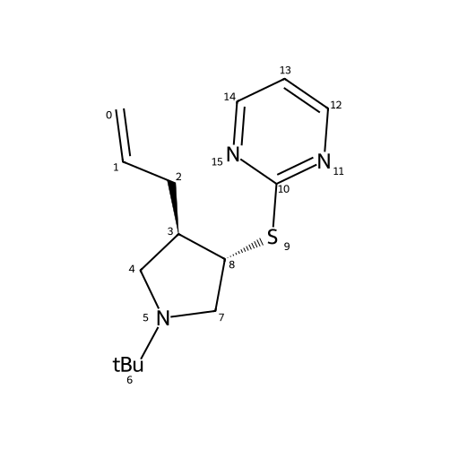 C=CC[C@@H]1CN(C(C)(C)C)C[C@H]1Sc1ncccn1